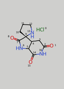 Cl.O=C1CC2C(NC(=O)[C@@]23CCCN3)C(=O)N1